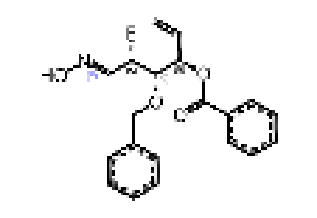 C=C[C@@H](OC(=O)c1ccccc1)[C@H](OCc1ccccc1)[C@@H](F)/C=N/O